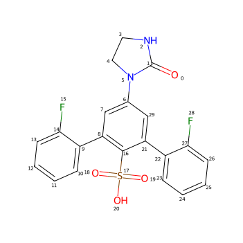 O=C1NCCN1c1cc(-c2ccccc2F)c(S(=O)(=O)O)c(-c2ccccc2F)c1